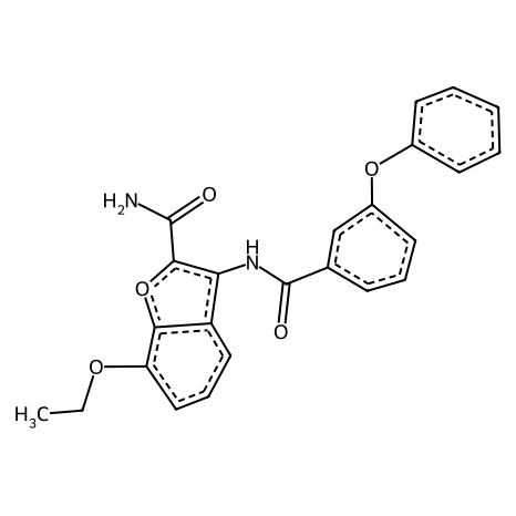 CCOc1cccc2c(NC(=O)c3cccc(Oc4ccccc4)c3)c(C(N)=O)oc12